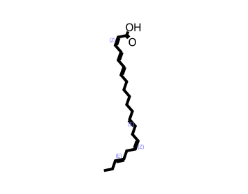 CC/C=C/C/C=C\C/C=C/CCCCCC=CC=C/C=C\C(=O)O